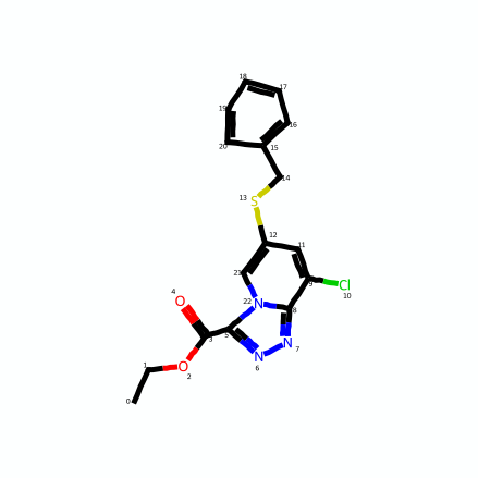 CCOC(=O)c1nnc2c(Cl)cc(SCc3ccccc3)cn12